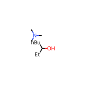 CCCCC(O)CC.CN(C)C